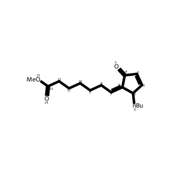 CCCCC1C=CC(=O)C1=CCCCCCC(=O)OC